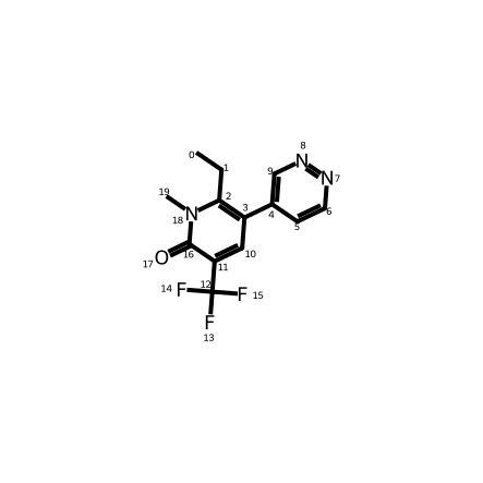 CCc1c(-c2ccnnc2)cc(C(F)(F)F)c(=O)n1C